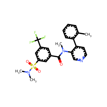 Cc1ccccc1-c1ccncc1N(C)C(=O)c1cc(C(F)(F)F)cc(S(=O)(=O)N(C)C)c1